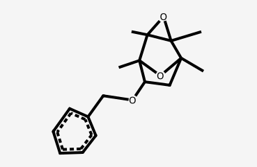 CC12CC(OCc3ccccc3)C(C)(O1)C1(C)OC21C